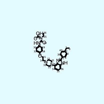 CCc1ccc(-c2nc3c(N4CCN(CCOc5ccc(NC(=O)N(CC)C(=O)O)cc5)CC4)cccc3[nH]2)cc1